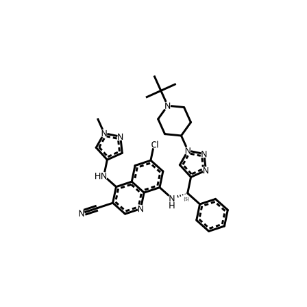 Cn1cc(Nc2c(C#N)cnc3c(N[C@@H](c4ccccc4)c4cn(C5CCN(C(C)(C)C)CC5)nn4)cc(Cl)cc23)cn1